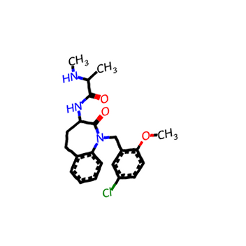 CNC(C)C(=O)NC1CCc2ccccc2N(Cc2cc(Cl)ccc2OC)C1=O